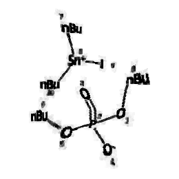 CCCCOP(=O)([O-])OCCCC.CCC[CH2][Sn+]([I])[CH2]CCC